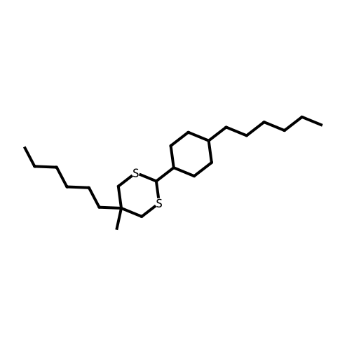 CCCCCCC1CCC(C2SCC(C)(CCCCCC)CS2)CC1